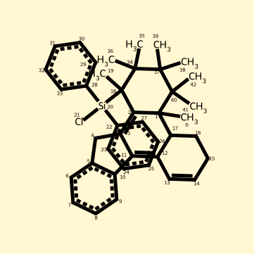 CC12C(=C3Cc4ccccc4C3=C3C=CCCC31)C(C)([Si](Cl)(c1ccccc1)c1ccccc1)C(C)(C)C(C)(C)C2(C)C